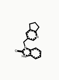 O=c1[nH]c2ccccc2n1Cc1cnc2c(c1)CCC2